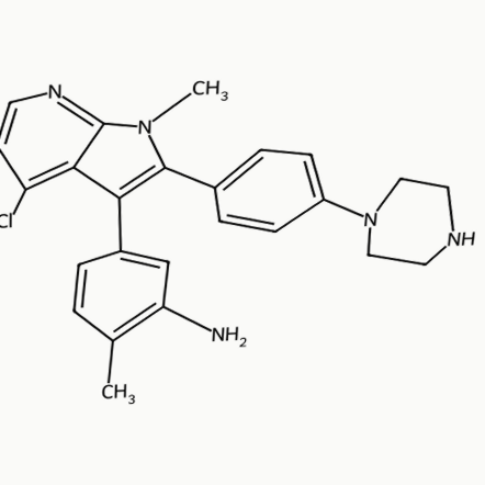 Cc1ccc(-c2c(-c3ccc(N4CCNCC4)cc3)n(C)c3nccc(Cl)c23)cc1N